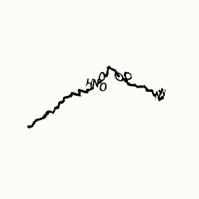 C=C(COC(=O)CCCCCCCn1ccnc1)COC(=O)NCCCCCCCCCCCCCCCCCC